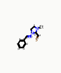 CCN1CCN(N=Cc2ccccc2)C1C=S